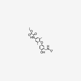 CCOC(=O)C(=O)Nc1cc(C)c(Oc2ccc(O)c(CNC3CC3)c2)c(C)c1